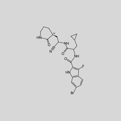 N#CC(C[C@@H]1CCCNC1=O)NC(=O)C(CC1CC1)NC(=O)c1[nH]c2cc(Br)ccc2c1F